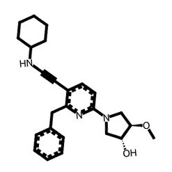 CO[C@@H]1CN(c2ccc(C#CNC3CCCCC3)c(Cc3ccccc3)n2)C[C@H]1O